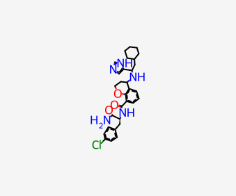 NC(=O)[C@H](Cc1ccc(Cl)cc1)NC(=O)c1cccc2c1OCCC2NC(CC1CCCCC1)c1cnc[nH]1